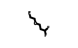 FCCOCCC(F)F